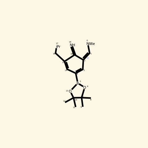 CN/C=C1/C=C(B2OC(C)(C)C(C)(C)O2)C=C(CC(C)C)C1=N